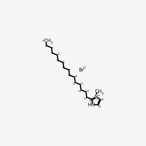 CCCCCCCCCCCCCCCCc1[nH]cc[n+]1C.[Br-]